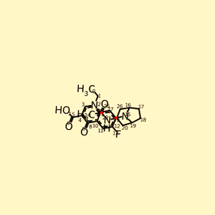 CCn1cc(C(=O)O)c(=O)c2cc(F)c(N3C4CCC3CC(NC(C)=O)C4)cc21